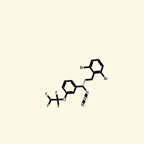 [N-]=[N+]=N[C@@H](CCc1c(Br)cccc1Br)c1cccc(OC(F)(F)C(F)F)c1